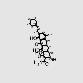 NC(=O)C1C(=O)C2(O)C(O)=C3C(=O)c4c(O)c(CSC5CCCCC5)cc(I)c4CC3CC2CC1O